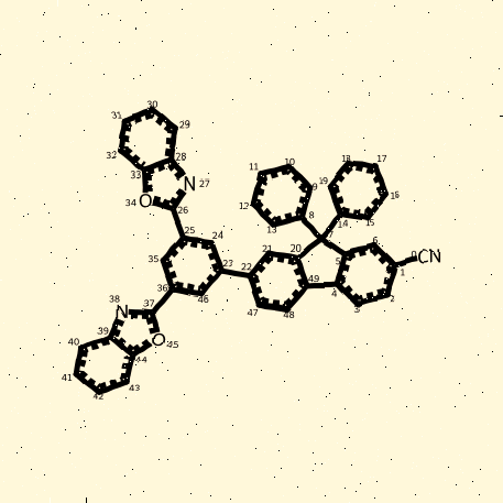 N#Cc1ccc2c(c1)C(c1ccccc1)(c1ccccc1)c1cc(-c3cc(-c4nc5ccccc5o4)cc(-c4nc5ccccc5o4)c3)ccc1-2